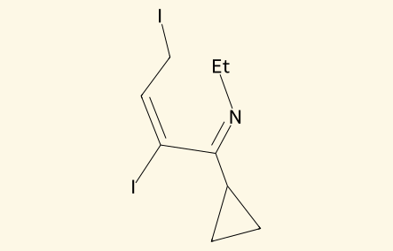 CC/N=C(\C(I)=C/CI)C1CC1